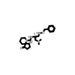 CN(C)C[C@](C)(CNOCc1ccccc1)NC(=O)N1CCCCC12C(=O)CCC2=O